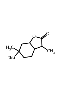 CC1C(=O)OC2CC(C)(C(C)(C)C)CCC21